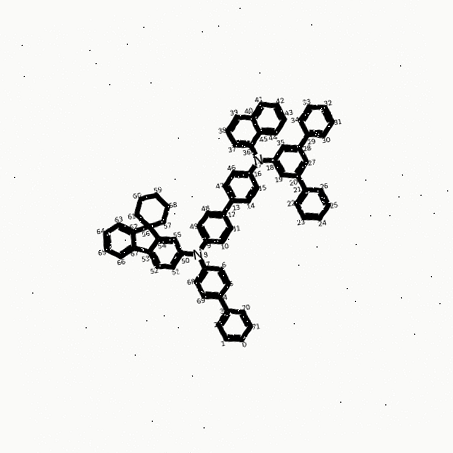 c1ccc(-c2ccc(N(c3ccc(-c4ccc(N(c5cc(-c6ccccc6)cc(-c6ccccc6)c5)c5cccc6ccccc56)cc4)cc3)c3ccc4c(c3)C3(CCCCC3)c3ccccc3-4)cc2)cc1